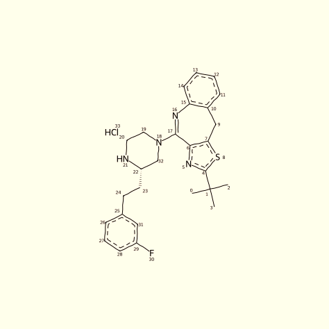 CC(C)(C)c1nc2c(s1)Cc1ccccc1N=C2N1CCN[C@@H](CCc2cccc(F)c2)C1.Cl